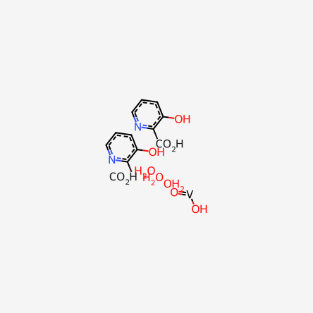 O.O.O.O=C(O)c1ncccc1O.O=C(O)c1ncccc1O.[O]=[V][OH]